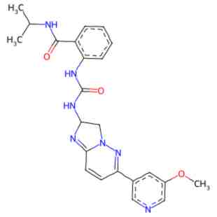 COc1cncc(C2=NN3CC(NC(=O)Nc4ccccc4C(=O)NC(C)C)N=C3C=C2)c1